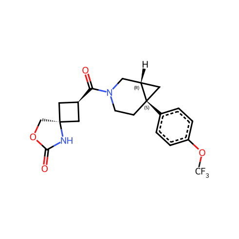 O=C1N[C@]2(CO1)C[C@H](C(=O)N1CC[C@@]3(c4ccc(OC(F)(F)F)cc4)C[C@H]3C1)C2